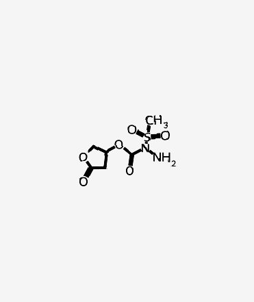 CS(=O)(=O)N(N)C(=O)OC1COC(=O)C1